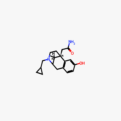 C[C@H]1C2Cc3ccc(O)cc3[C@@]1(CC(N)=O)CCN2CC1CC1